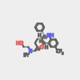 CC(C)N(CCO)C[C@H]1CC[C@@H]2[C@H](O1)c1cc(C(F)(F)F)ccc1N[C@H]2c1ccccc1